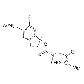 CC(=O)Nc1cc2c(cc1F)C(C)(OC(=O)N(C=O)CC(=O)OC(C)(C)C)CC2